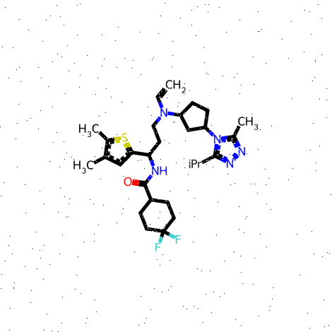 C=CN(CCC(NC(=O)C1CCC(F)(F)CC1)c1cc(C)c(C)s1)C1CCC(n2c(C)nnc2C(C)C)C1